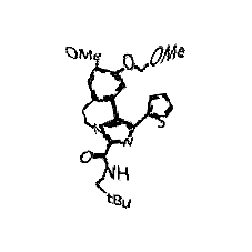 COCOc1cc2c(cc1OC)CCn1c(C(=O)NCC(C)(C)C)nc(-c3cccs3)c1-2